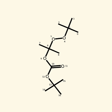 CC(C)(C)OOC(C)(C)OC(=O)OC(C)(C)C